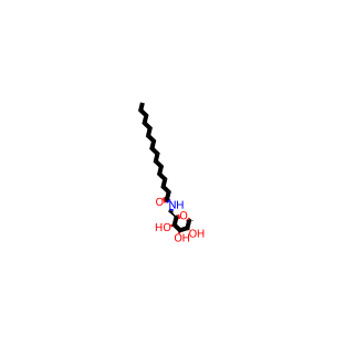 CCCCCCCCCCCCCCCC(=O)NC[C@H]1O[CH][C@H](O)[C@@H](O)[C@H]1O